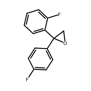 Fc1ccc(C2(c3ccccc3F)CO2)cc1